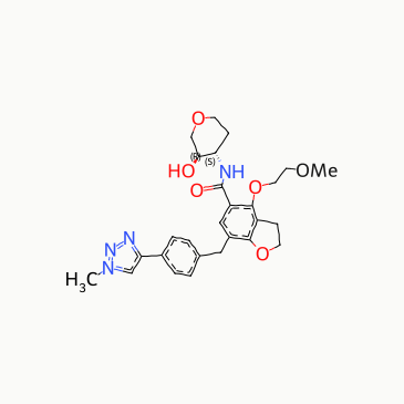 COCCOc1c(C(=O)N[C@H]2CCOC[C@@H]2O)cc(Cc2ccc(-c3cn(C)nn3)cc2)c2c1CCO2